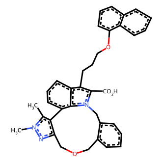 Cc1c2c(nn1C)COCc1ccccc1Cn1c(C(=O)O)c(CCCOc3cccc4ccccc34)c3cccc-2c31